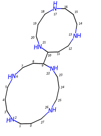 C1CNCCCNCCC(C2CCNCCCNCCCN2)NCCCNC1